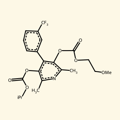 COCCOC(=O)Oc1c(C)nc(C)c(OC(=O)OC(C)C)c1-c1cccc(C(F)(F)F)c1